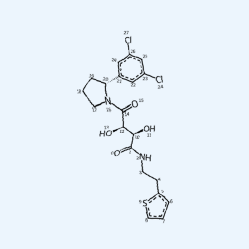 O=C(NCCc1cccs1)[C@H](O)[C@@H](O)C(=O)N1CCC[C@@H]1c1cc(Cl)cc(Cl)c1